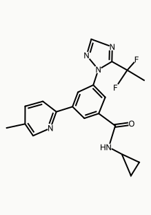 Cc1ccc(-c2cc(C(=O)NC3CC3)cc(-n3ncnc3C(C)(F)F)c2)nc1